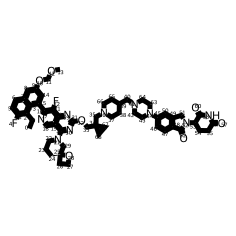 CCc1c(F)ccc2cc(OCOC)cc(-c3ncc4c(N5CCC[C@]6(CCO6)C5)nc(OCC5(CN6CCC(CN7CCN(c8ccc9c(c8)CN(C8CCC(=O)NC8=O)C9=O)CC7)CC6)CC5)nc4c3F)c12